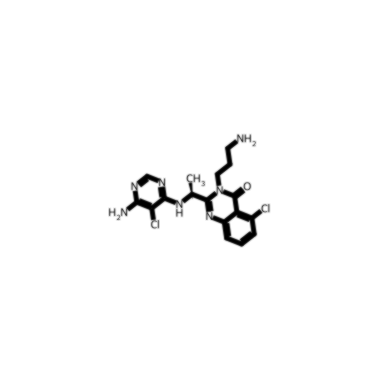 C[C@H](Nc1ncnc(N)c1Cl)c1nc2cccc(Cl)c2c(=O)n1CCCN